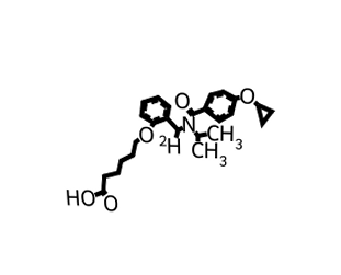 [2H]C(c1ccccc1OCCCCCC(=O)O)N(C(=O)c1ccc(OC2CC2)cc1)C(C)C